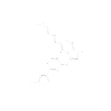 CCCNC(=O)c1ccc2oc(=O)n(Cc3cccc(-c4noc(C)n4)c3)c2c1